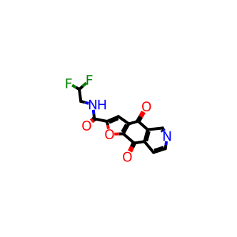 O=C(NCC(F)F)c1cc2c(o1)C(=O)c1ccncc1C2=O